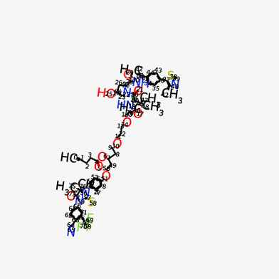 C#CCCC(=O)OC(CCOCCCOCC(=O)N[C@H](C(=O)N1C[C@H](O)C[C@H]1C(=O)N[C@@H](C)c1ccc(-c2scnc2C)cc1)C(C)(C)C)CCOc1ccc(N2C(=S)N(c3ccc(C#N)c(C(F)(F)F)c3)C(=O)C2(C)C)cc1